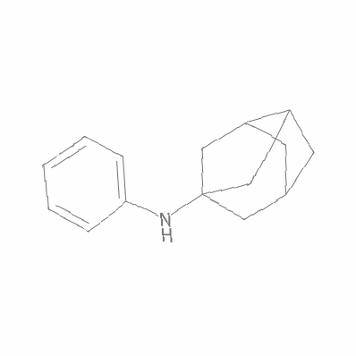 c1ccc(NC23CC4CC(C2)C(C4)C3)cc1